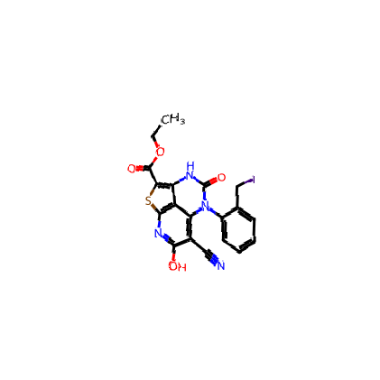 CCOC(=O)c1sc2nc(O)c(C#N)c3c2c1NC(=O)N3c1ccccc1CI